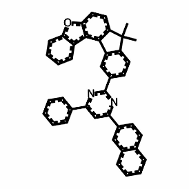 CC1(C)c2ccc(-c3nc(-c4ccccc4)cc(-c4ccc5ccccc5c4)n3)cc2-c2c1ccc1oc3ccccc3c21